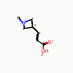 CN1CC(/C=C/C(=O)O)C1